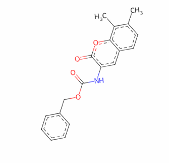 Cc1ccc2cc(NC(=O)OCc3ccccc3)c(=O)oc2c1C